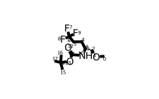 COC[C@@H](CCC(F)(F)F)NC(=O)OC(C)(C)C